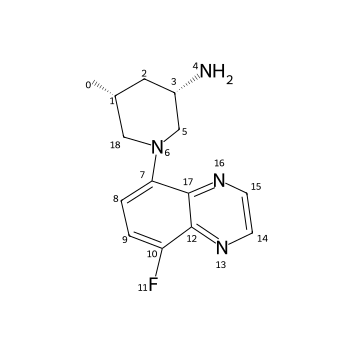 C[C@@H]1C[C@H](N)CN(c2ccc(F)c3nccnc23)C1